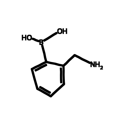 NCc1ccccc1B(O)O